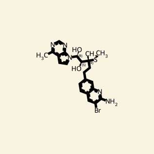 CS[C@](C)(CCc1ccc2cc(Br)c(N)nc2c1)[C@@H](O)[C@@H](O)n1ccc2c(C)ncnc21